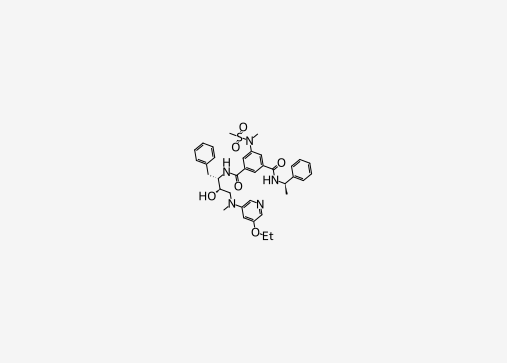 CCOc1cncc(N(C)C[C@@H](O)[C@H](Cc2ccccc2)NC(=O)c2cc(C(=O)N[C@H](C)c3ccccc3)cc(N(C)S(C)(=O)=O)c2)c1